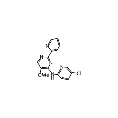 COc1cnc(-c2ccccn2)nc1Nc1ccc(Cl)cn1